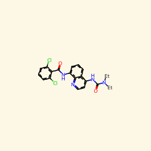 CCN(CC)C(=O)Nc1ccnc2c(NC(=O)c3c(Cl)cccc3Cl)cccc12